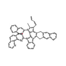 C=C/C=C\c1c(C)n(-c2ccc3ccccc3c2)c2c1c1c(c3c4ccccc4n(-c4ccc5ccc6cccnc6c5n4)c32)Cc2cc3ccccc3cc2C1